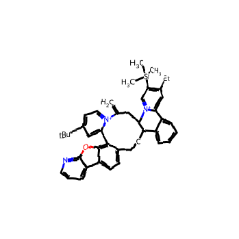 C=C1CC2C(CCc3ccc4c(oc5ncccc54)c3-c3cc(C(C)(C)C)cc[n+]31)c1ccccc1-c1cc(CC)c([Si](C)(C)C)c[n+]12